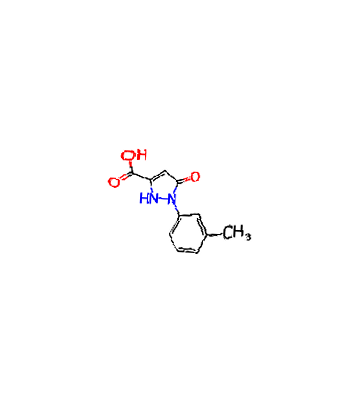 Cc1cccc(-n2[nH]c(C(=O)O)cc2=O)c1